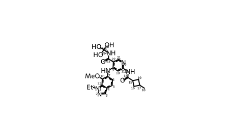 CCn1ncc2ccc(Nc3cc(NC(=O)C4CC(C)C4)ncc3C(=O)NC(O)(O)O)c(OC)c21